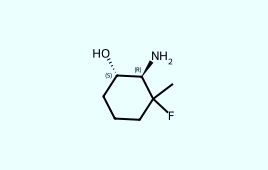 CC1(F)CCC[C@H](O)[C@H]1N